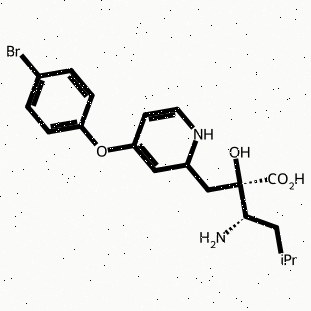 CC(C)C[C@H](N)[C@](O)(CC1C=C(Oc2ccc(Br)cc2)C=CN1)C(=O)O